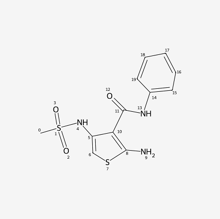 CS(=O)(=O)Nc1csc(N)c1C(=O)Nc1ccccc1